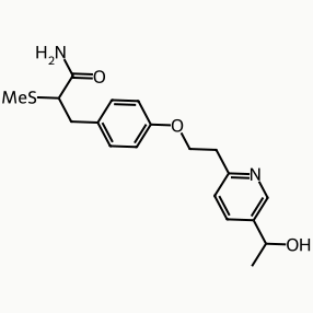 CSC(Cc1ccc(OCCc2ccc(C(C)O)cn2)cc1)C(N)=O